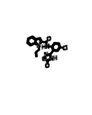 C=CCn1c(C(=O)Nc2ccc(Cl)cc2-c2noc(=O)[nH]2)cc2ccccc21